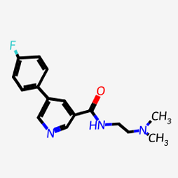 CN(C)CCNC(=O)c1cncc(-c2ccc(F)cc2)c1